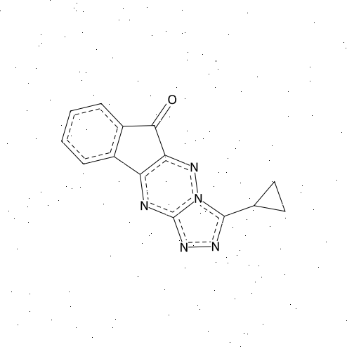 O=C1c2ccccc2-c2nc3nnc(C4CC4)n3nc21